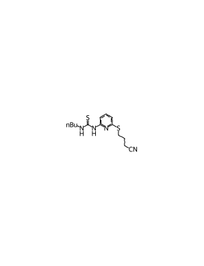 CCCCNC(=S)Nc1cccc(SCCCC#N)n1